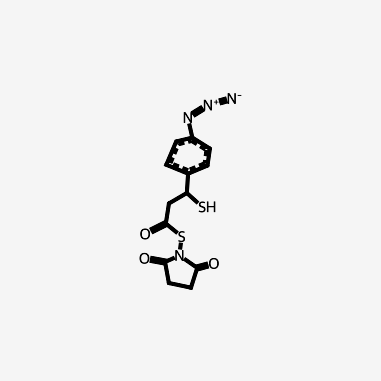 [N-]=[N+]=Nc1ccc(C(S)CC(=O)SN2C(=O)CCC2=O)cc1